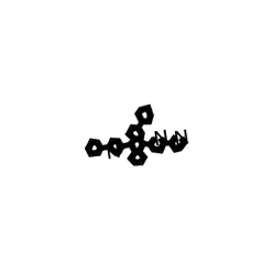 c1ccc(-c2ccc3c(-c4ccc(-c5ccccc5)nc4)c4ccccc4c(-c4ccc(-c5cccnc5)nc4)c3c2)cc1